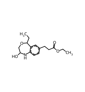 CCOC(=O)CCc1ccc2c(c1)C(CC)OCC(O)N2